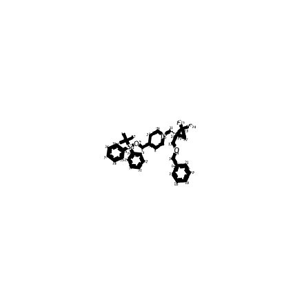 CC(C)(C)[Si](OCC1CCN(C[C@@]2(COCc3ccccc3)CC2(F)F)CC1)(c1ccccc1)c1ccccc1